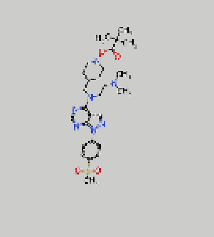 CN(C)CCN(CC1CCN(OC(=O)C(C)(C)C)CC1)c1ncnc2c1cnn2-c1ccc(S(C)(=O)=O)cc1